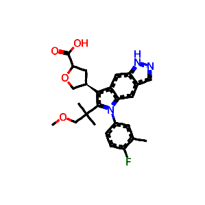 COCC(C)(C)c1c([C@H]2COC(C(=O)O)C2)c2cc3[nH]ncc3cc2n1-c1ccc(F)c(C)c1